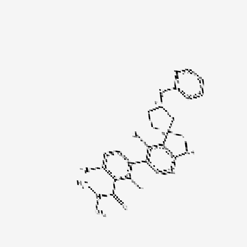 CN(C)C(=O)c1c(N)ccc(-c2cnc3c(c2Cl)[C@]2(CC[C@@H](Oc4ccccn4)C2)CN3)c1F